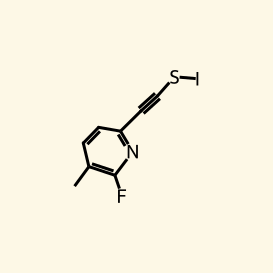 Cc1ccc(C#CSI)nc1F